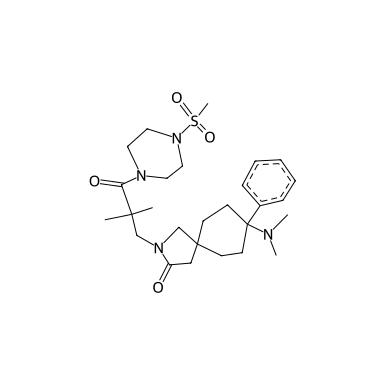 CN(C)C1(c2ccccc2)CCC2(CC1)CC(=O)N(CC(C)(C)C(=O)N1CCN(S(C)(=O)=O)CC1)C2